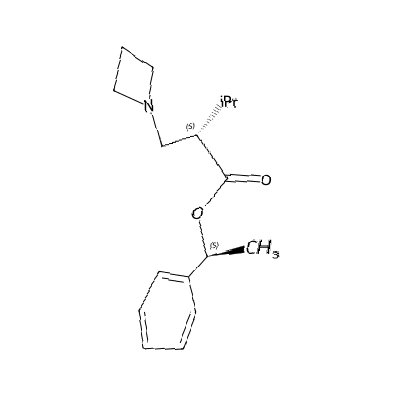 CC(C)[C@@H](CN1CCC1)C(=O)O[C@@H](C)c1ccccc1